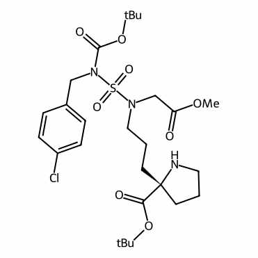 COC(=O)CN(CCC[C@]1(C(=O)OC(C)(C)C)CCCN1)S(=O)(=O)N(Cc1ccc(Cl)cc1)C(=O)OC(C)(C)C